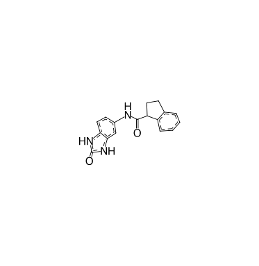 O=C(Nc1ccc2[nH]c(=O)[nH]c2c1)C1CCc2ccccc21